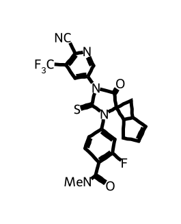 CNC(=O)c1ccc(N2C(=S)N(c3cnc(C#N)c(C(F)(F)F)c3)C(=O)C23CC2C=CCC23)cc1F